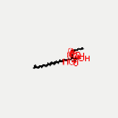 CCCCCC(=O)OC(=O)C(CCCCCCCCCCCCCCCCCC(C)C)C(O)(CC(=O)O)C(=O)O